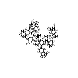 Cc1ccc(C(N)=O)c(-c2cc(Nc3cnccc3S(C)(=O)=O)cc3nccnc23)c1.Cn1ccc2ccc(-c3cc(Nc4cnccc4C(=O)NC4CCNC(=O)C4)cc4nccnc34)cc21